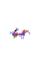 COC(=O)c1ccnc(NCCNC(=O)CCCC2CCN(c3cc(N4CCCC4C(=O)NCCc4ccc(C#N)cc4)nc(C(F)(F)F)n3)CC2)n1